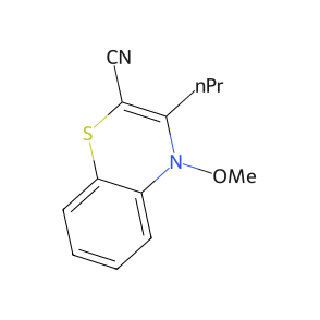 CCCC1=C(C#N)Sc2ccccc2N1OC